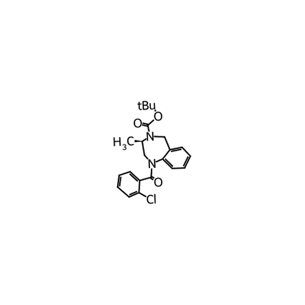 C[C@@H]1CN(C(=O)c2ccccc2Cl)c2ccccc2CN1C(=O)OC(C)(C)C